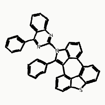 c1ccc(-c2nc(-n3c(-c4ccccc4)c4c5c(cccc53)-c3cccc5sc6cccc-4c6c35)nc3ccccc23)cc1